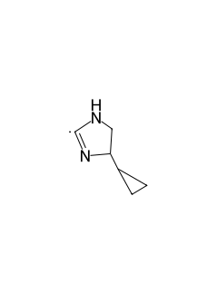 [C]1=NC(C2CC2)CN1